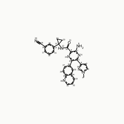 Cn1ccc(-c2nc(N)c(C(=O)NC3(c4cccc(C#N)c4)CC3)nc2-c2ccc3ncccc3c2)n1